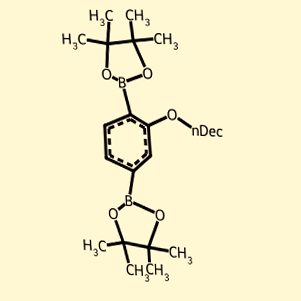 CCCCCCCCCCOc1cc(B2OC(C)(C)C(C)(C)O2)ccc1B1OC(C)(C)C(C)(C)O1